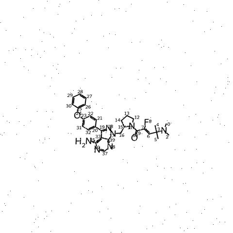 CN(C)C(C)(C)/C=C(\F)C(=O)N1CCC[C@@H]1Cn1nc(-c2ccc(Oc3ccccc3)cc2)c2c(N)ncnc21